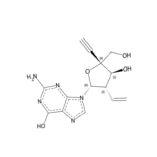 C#C[C@]1(CO)O[C@@H](n2cnc3c(O)nc(N)nc32)[C@@H](C=C)[C@@H]1O